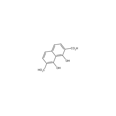 O=C(O)c1ccc2ccc(C(=O)O)c(O)c2c1O